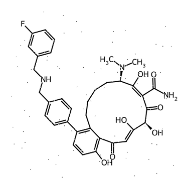 CN(C)[C@@H]1CCCCc2c(-c3ccc(CNCc4cccc(F)c4)cc3)ccc(O)c2C(=O)/C=C(\O)[C@H](O)C(=O)/C(C(N)=O)=C\1O